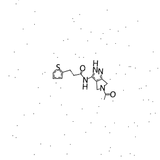 CC(=O)N1Cc2n[nH]c(NC(=O)CCc3cccs3)c2C1